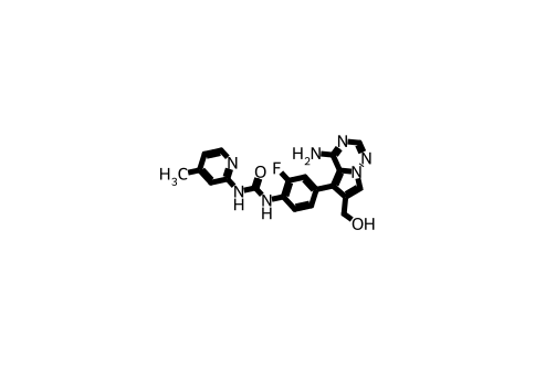 Cc1ccnc(NC(=O)Nc2ccc(-c3c(CO)cn4ncnc(N)c34)cc2F)c1